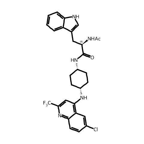 CC(=O)N[C@H](Cc1c[nH]c2ccccc12)C(=O)N[C@H]1CC[C@@H](Nc2cc(C(F)(F)F)nc3ccc(Cl)cc23)CC1